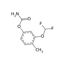 Cc1ccc(OC(N)=O)cc1OC(F)F